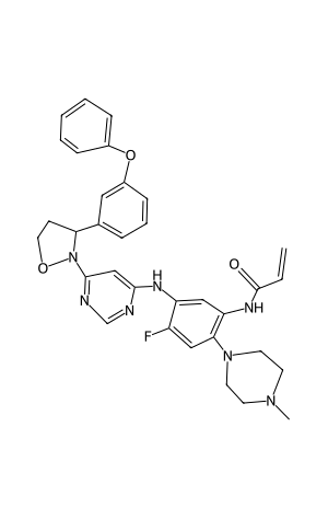 C=CC(=O)Nc1cc(Nc2cc(N3OCCC3c3cccc(Oc4ccccc4)c3)ncn2)c(F)cc1N1CCN(C)CC1